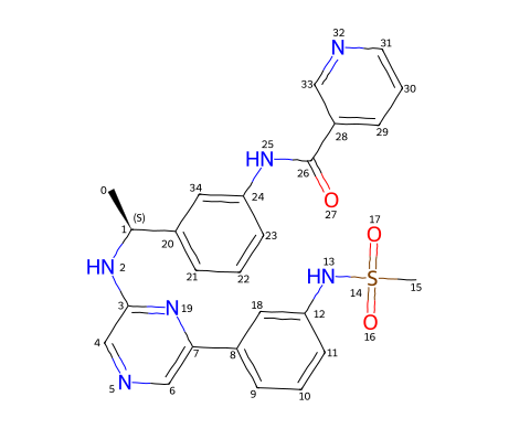 C[C@H](Nc1cncc(-c2cccc(NS(C)(=O)=O)c2)n1)c1cccc(NC(=O)c2cccnc2)c1